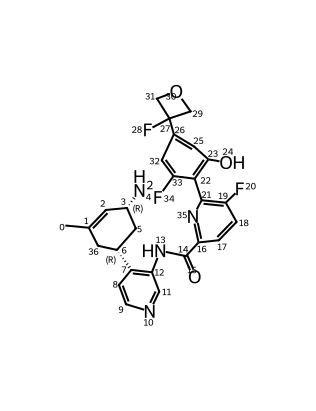 CC1=C[C@H](N)C[C@H](c2ccncc2NC(=O)c2ccc(F)c(-c3c(O)cc(C4(F)COC4)cc3F)n2)C1